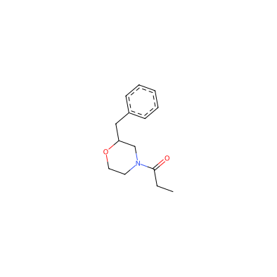 CCC(=O)N1CCOC(Cc2ccccc2)C1